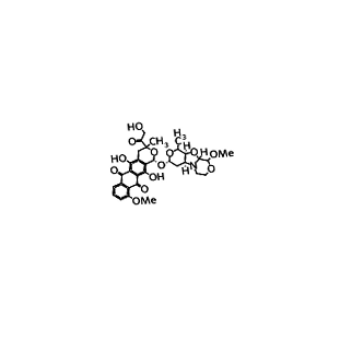 COc1cccc2c1C(=O)c1c(O)c3c(c(O)c1C2=O)C[C@](C)(C(=O)CO)O[C@@H]3O[C@H]1C[C@H]2[C@H](O[C@@H]3[C@@H](OC)OCCN32)[C@H](C)O1